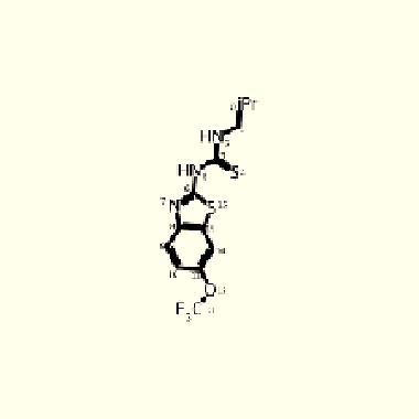 CC(C)CNC(=S)Nc1nc2ccc(OC(F)(F)F)cc2s1